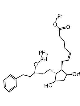 CC(C)OC(=O)CCC/C=C\C[C@@H]1[C@@H](CC[C@H](CCc2ccccc2)OPP)[C@H](O)C[C@@H]1O